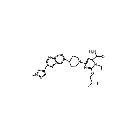 CCN1C(OCC(C)F)=NC(N2CCC(c3ccc4ncc(-c5cnn(C)c5)nc4c3)CC2)=CC1C(N)=O